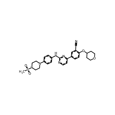 CS(=O)(=O)N1CCN(c2ccc(Nc3nccc(-c4ccc(OC5CCOCC5)c(C#N)c4)n3)cc2)CC1